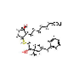 CC(C)(CCCc1ccccc1)C(O)CSC1CCC(=O)C1CCCCCCC(=O)O